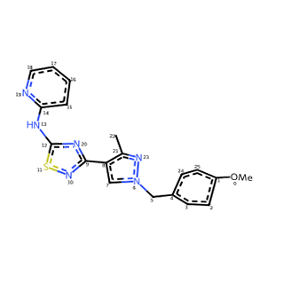 COc1ccc(Cn2cc(-c3nsc(Nc4ccccn4)n3)c(C)n2)cc1